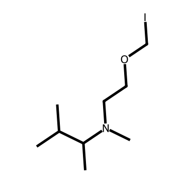 CC(C)C(C)N(C)CCOCI